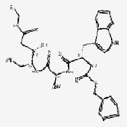 CCCC[C@H](NC(=O)[C@H](Cc1c[nH]c2ccccc12)NC(=O)OCc1ccccc1)C(=O)N[C@@H](CC(C)C)[C@@H](O)CC(=O)NCC(C)CC